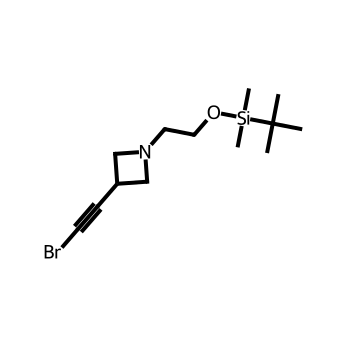 CC(C)(C)[Si](C)(C)OCCN1CC(C#CBr)C1